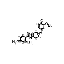 CCOc1cc(CN2CCC(NC(=O)c3ccc(C)cc3C)CC2)ccc1Cl